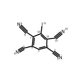 N#Cc1cc(C#N)c(C#N)c(I)c1C#N